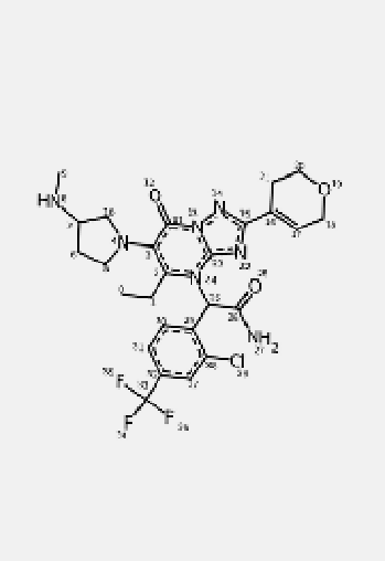 CCc1c(N2CCC(NC)C2)c(=O)n2nc(C3=CCOCC3)nc2n1C(C(N)=O)c1ccc(C(F)(F)F)cc1Cl